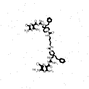 N/C(=N\C(=O)c1nc(Cl)c(N)nc1N)NCC1(CCc2ccccc2)CCN(C(=O)NCCCCNC(=O)N2CCC(CCc3ccccc3)(CN/C(N)=N/C(=O)c3nc(Cl)c(N)nc3N)CC2)CC1